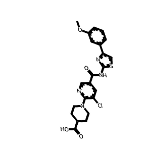 COc1cccc(-c2csc(NC(=O)c3cnc(N4CCC(C(=O)O)CC4)c(Cl)c3)n2)c1